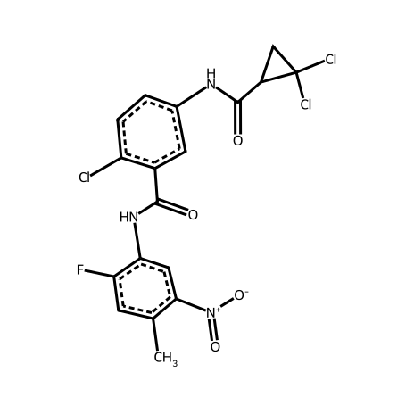 Cc1cc(F)c(NC(=O)c2cc(NC(=O)C3CC3(Cl)Cl)ccc2Cl)cc1[N+](=O)[O-]